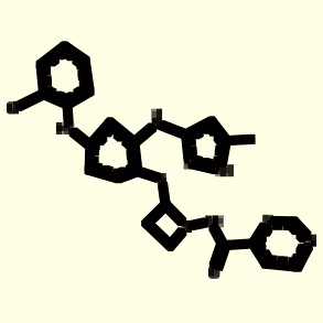 Cc1cc(Nc2cc(Nc3ccccc3Cl)ccc2SC2CCN2NC(=O)c2ccncn2)n[nH]1